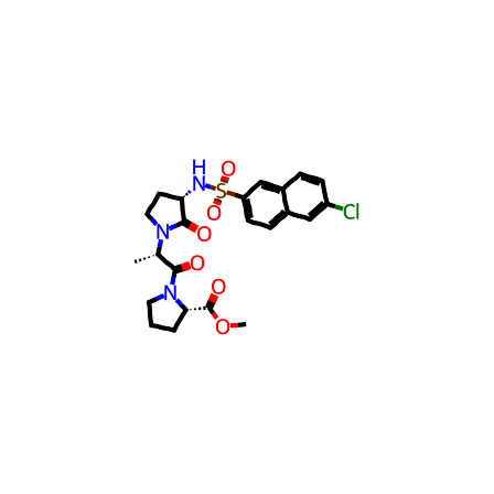 COC(=O)[C@@H]1CCCN1C(=O)[C@H](C)N1CC[C@H](NS(=O)(=O)c2ccc3cc(Cl)ccc3c2)C1=O